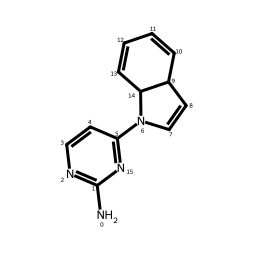 Nc1nccc(N2C=CC3C=CC=CC32)n1